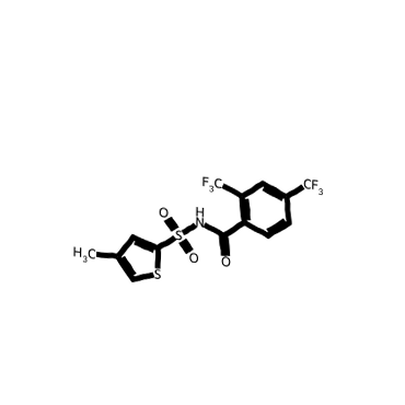 Cc1csc(S(=O)(=O)NC(=O)c2ccc(C(F)(F)F)cc2C(F)(F)F)c1